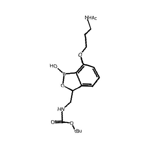 CC(=O)NCCCOc1cccc2c1B(O)OC2CNC(=O)OC(C)(C)C